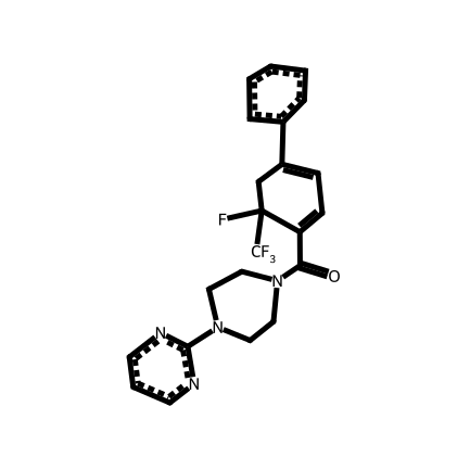 O=C(C1=CC=C(c2ccccc2)CC1(F)C(F)(F)F)N1CCN(c2ncccn2)CC1